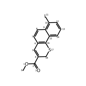 COC(=O)C1=Cc2ccc3c(I)cccc3c2SC1